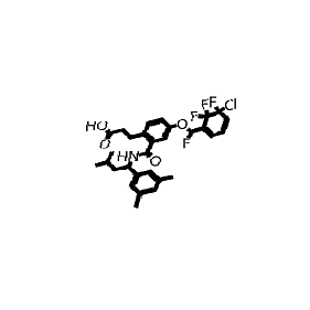 Cc1cc(C)cc(C(CC(C)C)NC(=O)c2cc(OC(F)C3=CC=CC(F)(Cl)C3(F)F)ccc2CCC(=O)O)c1